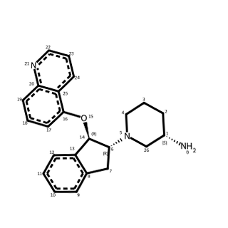 N[C@H]1CCCN([C@@H]2Cc3ccccc3[C@H]2Oc2cccc3ncccc23)C1